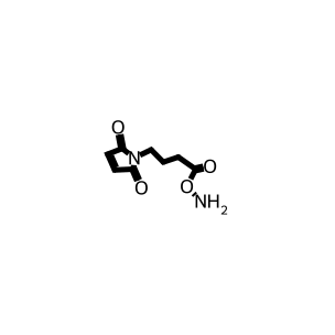 NOC(=O)CCCN1C(=O)C=CC1=O